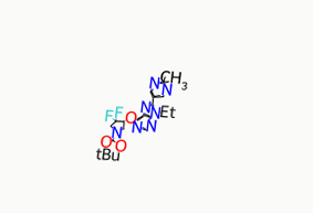 CCn1c(-c2cnc(C)nc2)nc2c(OC3CN(C(=O)OC(C)(C)C)CC3(F)F)ncnc21